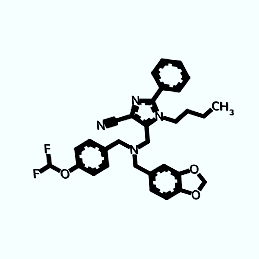 CCCCn1c(-c2ccccc2)nc(C#N)c1CN(Cc1ccc(OC(F)F)cc1)Cc1ccc2c(c1)OCO2